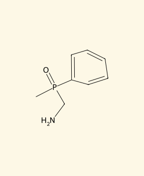 CP(=O)(CN)c1ccccc1